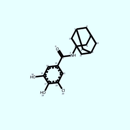 O=C(NC12CC3CC(CC(C3)C1)C2)c1cc(O)c(O)c(Cl)c1